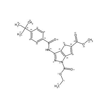 CCOC(=O)n1nc(NC(=O)c2ccc(C(C)(C)C)cc2)c2sc(C(=O)OC)cc21